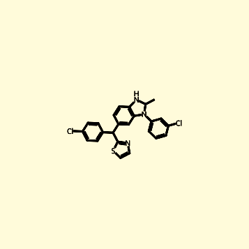 CC1Nc2ccc(C(c3ccc(Cl)cc3)c3nccs3)cc2N1c1cccc(Cl)c1